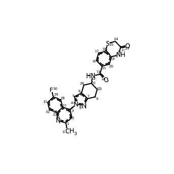 Cc1cc(-n2cc3c(n2)CCC(NC(=O)c2ccc4c(c2)NC(=O)CS4)C3)c2cc(F)ccc2n1